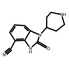 N#Cc1cccc2c1[nH]c(=O)n2C1CCNCC1